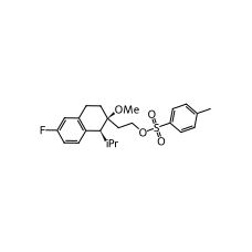 CO[C@]1(CCOS(=O)(=O)c2ccc(C)cc2)CCc2cc(F)ccc2[C@@H]1C(C)C